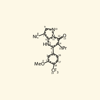 COc1cc(-c2[nH]c3c(C#N)cnn3c(=O)c2C(C)C)ccc1C(F)(F)F